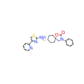 O=C1O[C@]2(CC[C@@H](CNc3nc(-c4ccccn4)cs3)CC2)CN1c1ccccc1